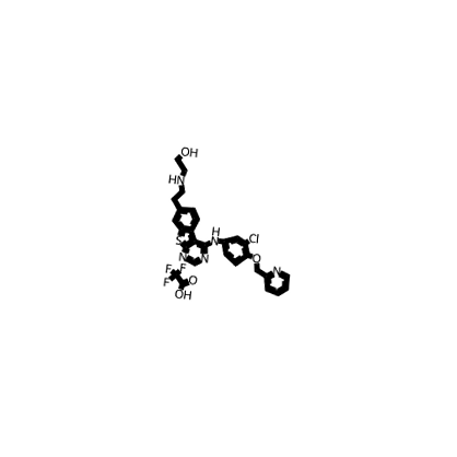 O=C(O)C(F)(F)F.OCCNCCc1ccc2c(c1)sc1ncnc(Nc3ccc(OCc4ccccn4)c(Cl)c3)c12